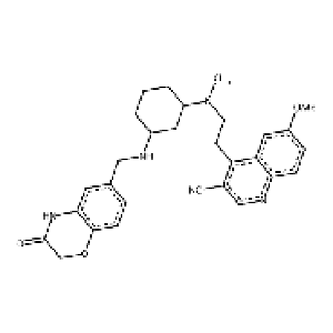 COc1ccc2ncc(C#N)c(CCN(C)C3CCCC(NCc4ccc5c(c4)NC(=O)CO5)C3)c2c1